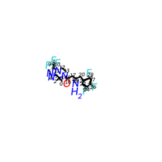 CC1(C)c2nnc(C(F)(F)F)n2CCN1C(=O)CC(N)Cc1cc(F)c(F)cc1F